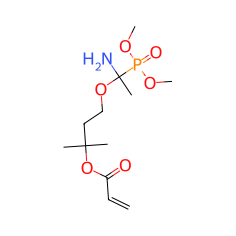 C=CC(=O)OC(C)(C)CCOC(C)(N)P(=O)(OC)OC